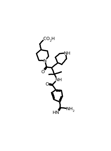 CC(C)(NC(=O)c1ccc(C(=N)N)cc1)C(C(=O)N1CCC(CC(=O)O)CC1)C1CCNCC1